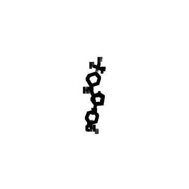 CN1CCN(c2cc[c]c(N[C@H]3CC[C@@H](C(F)(F)F)CC3)c2)CC1